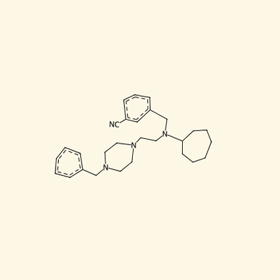 N#Cc1cccc(CN(CCN2CCN(Cc3ccccc3)CC2)C2CCCCCC2)c1